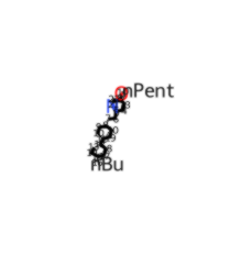 CCCCCOc1ccc(CC[C@H]2CC[C@H]([C@H]3CC[C@H](CCCC)CC3)CC2)nc1